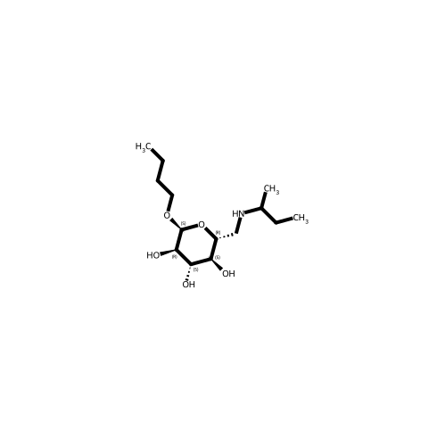 CCCCO[C@H]1O[C@H](CNC(C)CC)[C@@H](O)[C@H](O)[C@H]1O